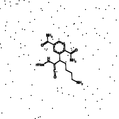 CCCCCCNC(=C=O)C(CCCCN)c1cc(C(N)=O)ccc1C(N)=O